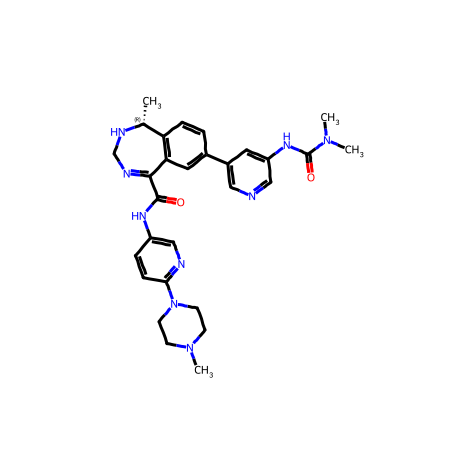 C[C@H]1NCN=C(C(=O)Nc2ccc(N3CCN(C)CC3)nc2)c2cc(-c3cncc(NC(=O)N(C)C)c3)ccc21